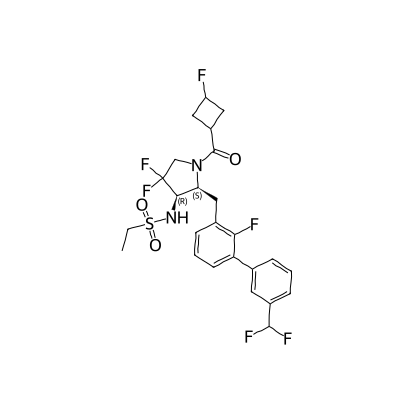 CCS(=O)(=O)N[C@@H]1[C@H](Cc2cccc(-c3cccc(C(F)F)c3)c2F)N(C(=O)C2CC(F)C2)CC1(F)F